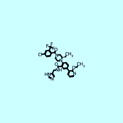 CCOc1ncccc1-c1ccc(N2CCN(C(=O)c3ccc(Cl)cc3C(F)(F)F)C[C@H]2CC)c(C(=O)NCc2cnc[nH]2)c1